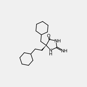 N=C1NC(=O)[C@@](CCC2CCCCC2)(CC2CCCCC2)N1